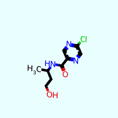 CC(CCO)NC(=O)c1cnc(Cl)cn1